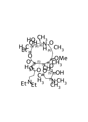 CC[C@H]1OC(=O)[C@H](C)[C@@H](OC(=O)CCN(CC)CC)[C@H](C)[C@@H](O[C@@H]2O[C@H](C)C[C@H](N(C)C)[C@@H]2O)[C@](C)(OC)C[C@@H](C)C(=O)N[C@H](C)[C@@H](O)[C@]1(C)O